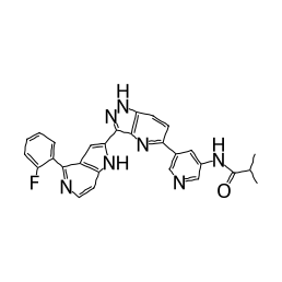 CC(C)C(=O)Nc1cncc(-c2ccc3[nH]nc(-c4cc5c(-c6ccccc6F)nccc5[nH]4)c3n2)c1